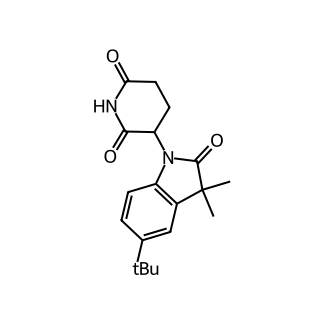 CC(C)(C)c1ccc2c(c1)C(C)(C)C(=O)N2C1CCC(=O)NC1=O